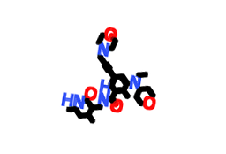 CCN(c1cc(C#CCN2CCOCC2)cc(C(=O)NCC2C(=O)NC(C)CC2C)c1C)C1CCOCC1